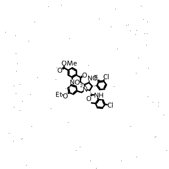 CCOc1cccc(CN2[C@@H](CC(=O)c3ccc(C(=O)OC)cc3[N+](=O)[O-])[C@@H]([N+](=O)[O-])[C@H](c3cccc(Cl)c3F)[C@@H]2C(=O)Nc2cc(Cl)ccc2C)c1